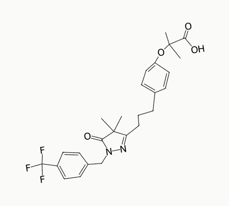 CC(C)(Oc1ccc(CCCC2=NN(Cc3ccc(C(F)(F)F)cc3)C(=O)C2(C)C)cc1)C(=O)O